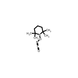 CC1(C)CCCC(C)(C)N1ON=C=O